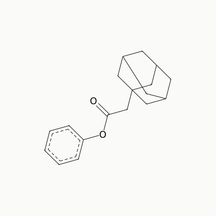 O=C(CC12CC3CC(CC(C3)C1)C2)Oc1ccccc1